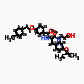 Cc1ccc(CCOc2ccc(C(=O)N/C(=C/c3ccc(OC(C)C)cc3)C(=O)NCCO)cc2)cc1